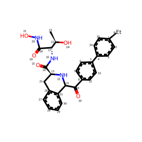 CCc1ccc(-c2ccc(C(=O)C3N[C@H](C(=O)N[C@H](C(=O)NO)[C@@H](C)O)Cc4ccccc43)cc2)cc1